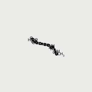 Cc1cccc(C(=O)NC2CC(n3cnc4c(Nc5ccc(N6CCN(C7CC8(CCN(c9ccc%10c(c9)C(=O)N([C@H]9CCC(=O)NC9=O)C%10=O)CC8)C7)CC6)cc5)ncnc43)C2)n1